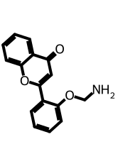 NCOc1ccccc1-c1cc(=O)c2ccccc2o1